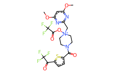 COc1cc(OC)nc(C[N+]2(OC(=O)C(F)(F)F)CCN(C(=O)c3ccc(C(=O)C(F)(F)F)s3)CC2)n1